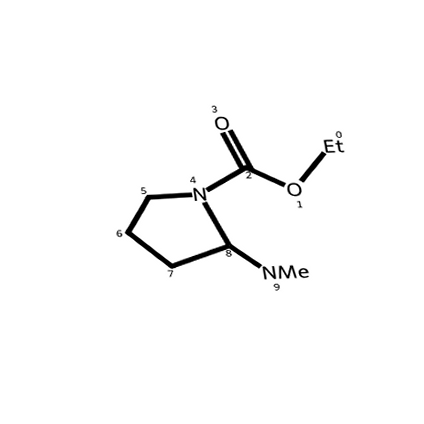 CCOC(=O)N1CCCC1NC